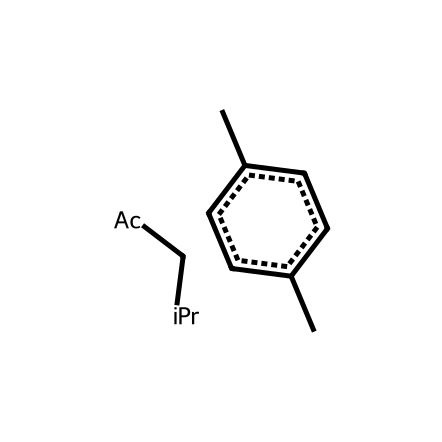 CC(=O)CC(C)C.Cc1ccc(C)cc1